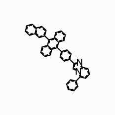 c1ccc(-c2cccc3nc(-c4ccc(-c5c6ccccc6c(-c6ccc7ccccc7c6)c6ccccc56)cc4)cn23)cc1